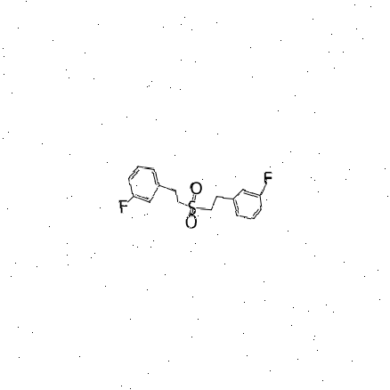 O=S(=O)(CCc1cccc(F)c1)CCc1cccc(F)c1